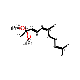 CC(C)=CCCC(C)=CC=CC(C)(OC(C)C)OC(C)C